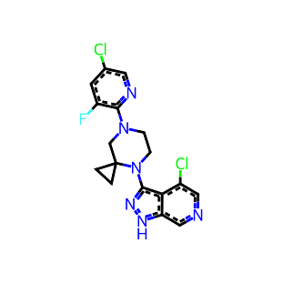 Fc1cc(Cl)cnc1N1CCN(c2n[nH]c3cncc(Cl)c23)C2(CC2)C1